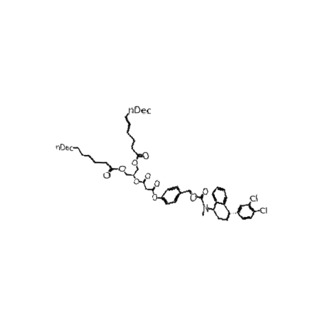 CCCCCCCCCCCCCCCC(=O)OCC(COC(=O)CCCCCCCCCCCCCCC)OC(=O)CC(=O)Oc1ccc(COC(=O)N(C)C2CC[C@@H](c3ccc(Cl)c(Cl)c3)c3ccccc32)cc1